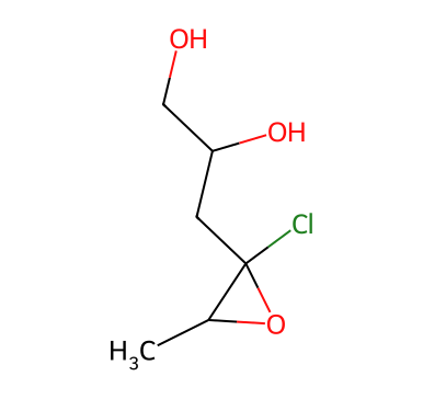 CC1OC1(Cl)CC(O)CO